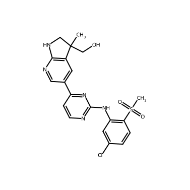 CC1(CO)CNc2ncc(-c3ccnc(Nc4cc(Cl)ccc4S(C)(=O)=O)n3)cc21